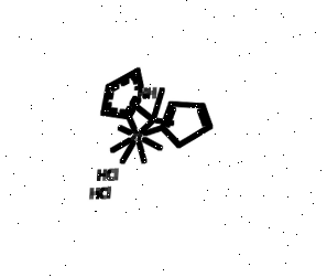 C[C](C)(C)[Zr]([CH3])([CH3])([CH3])([CH3])([CH3])([C]1=CC=CC1)[c]1ccc[nH]1.Cl.Cl